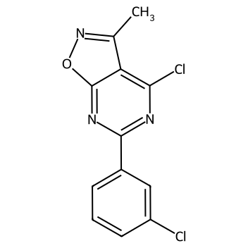 Cc1noc2nc(-c3cccc(Cl)c3)nc(Cl)c12